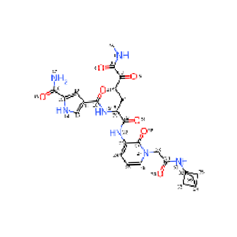 CNC(=O)C(=O)CC[C@H](NC(=O)c1c[nH]c(C(N)=O)c1)C(=O)Nc1cccn(CC(=O)NC23CC(C2)C3)c1=O